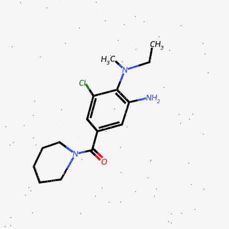 CCN(C)c1c(N)cc(C(=O)N2CCCCC2)cc1Cl